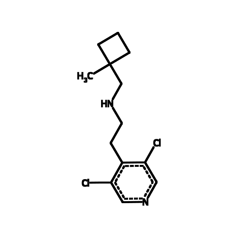 CC1(CNCCc2c(Cl)cncc2Cl)CCC1